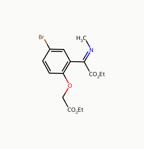 CCOC(=O)COc1ccc(Br)cc1/C(=N\C)C(=O)OCC